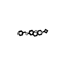 c1cc(COc2ccc3c(c2)CCC2(CCN(C4CCC4)CC2)O3)ccn1